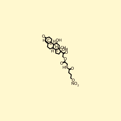 C[C@]12CCC(=O)C=C1CC[C@@H]1[C@@H]2[C@@H](O)C[C@@]2(C)[C@H]1CC[C@]2(O)C(=O)COC(=O)CNC(=O)CCCO[N+](=O)[O-]